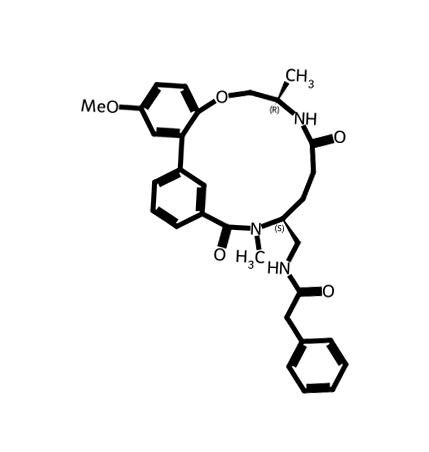 COc1ccc2c(c1)-c1cccc(c1)C(=O)N(C)[C@H](CNC(=O)Cc1ccccc1)CCC(=O)N[C@H](C)CO2